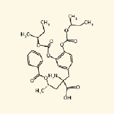 CCC(C)OC(=O)Oc1ccc(CC(N)(C[C@H](C)OC(=O)c2ccccc2)C(=O)O)cc1OC(=O)OC(C)CC